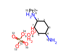 NC1CCC(N)CC1.O.O.O=S(=O)([O-])[O-].[Pt+2]